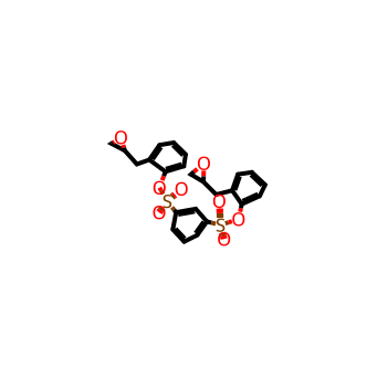 O=S(=O)(Oc1ccccc1CC1CO1)c1cccc(S(=O)(=O)Oc2ccccc2CC2CO2)c1